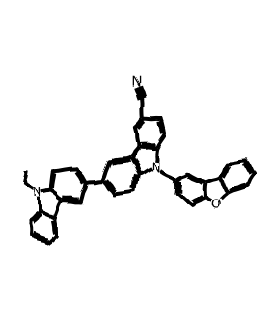 CCn1c2ccccc2c2cc(-c3ccc4c(c3)c3cc(C#N)ccc3n4-c3ccc4oc5ccccc5c4c3)ccc21